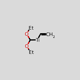 C=[CH][Ti][CH](OCC)OCC